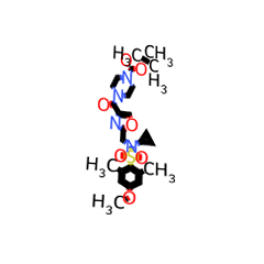 COc1cc(C)c(S(=O)(=O)N(Cc2nc(C(=O)N3CCN(C(=O)OC(C)(C)C)CC3)co2)C2CC2)c(C)c1